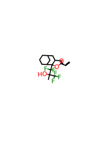 C=CC(=O)OC1(C(F)(F)C(C)(O)C(F)(F)F)C(CC)CC2CCCC1C2